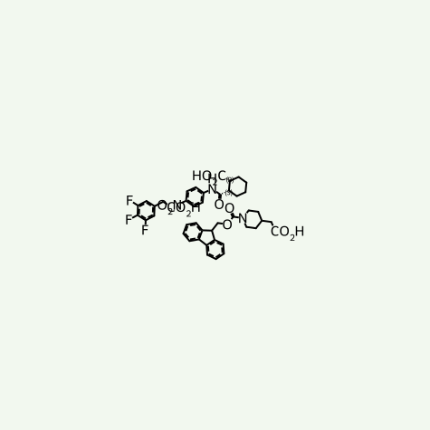 O=C(Nc1ccc([N+](=O)[O-])cc1)[C@H]1CCCC[C@H]1C(=O)O.O=C(O)CC1CCN(C(=O)OCC2c3ccccc3-c3ccccc32)CC1.O=C(O)Cc1cc(F)c(F)c(F)c1